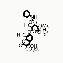 CCOC(=O)c1c(O)c2ccc(O[C@@H]3OC(C)(C)[C@H](OC)[C@H](OC(=O)NC4CCCCC4)[C@H]3O)c(C)c2oc1=O